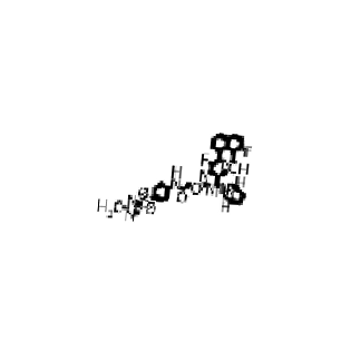 C#Cc1c(F)ccc2cccc(-c3ncc4c(N5C[C@H]6CC[C@@H](C5)N6)nc(OCC(=O)Nc5ccc(S(=O)(=O)n6cnc(C)n6)cc5)nc4c3F)c12